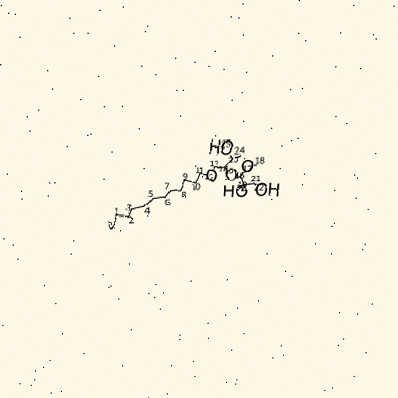 CCCCCCCCCCCCOCC(OC(OC)[C@H](O)CO)[C@H](C)O